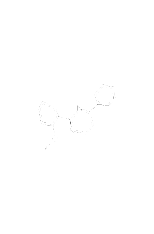 CCOc1ccccc1-c1nccc(-c2ccccc2)n1